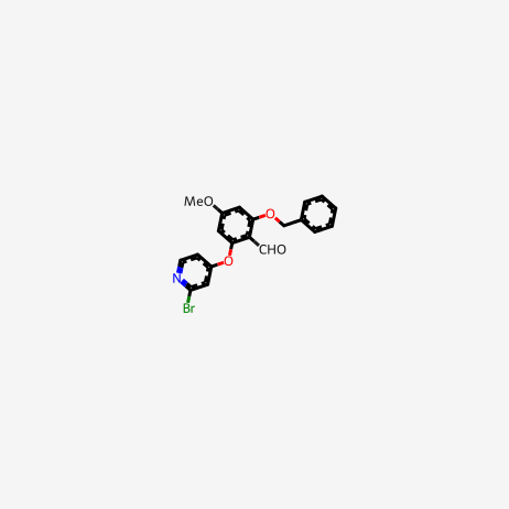 COc1cc(OCc2ccccc2)c(C=O)c(Oc2ccnc(Br)c2)c1